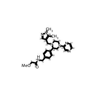 COCC(=O)NCc1ccc(C2CN(c3cnccn3)CCN2Cc2cnn(C)c2C)cc1